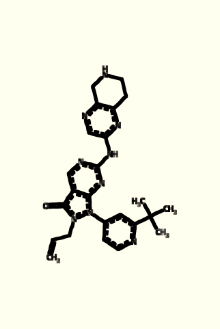 C=CCn1c(=O)c2cnc(Nc3cnc4c(n3)CCNC4)nc2n1-c1ccnc(C(C)(C)C)c1